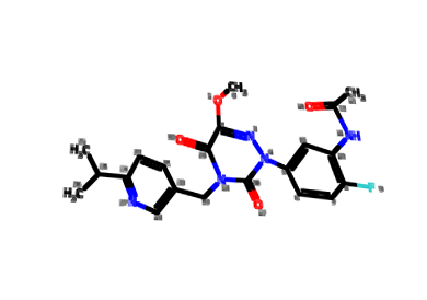 COc1nn(-c2ccc(F)c(NC(C)=O)c2)c(=O)n(Cc2ccc(C(C)C)nc2)c1=O